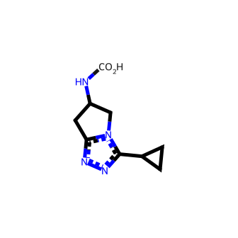 O=C(O)NC1Cc2nnc(C3CC3)n2C1